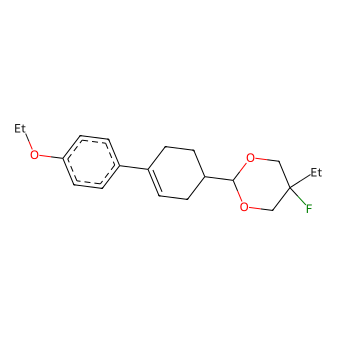 CCOc1ccc(C2=CCC(C3OCC(F)(CC)CO3)CC2)cc1